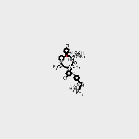 C[C@H]1C(=O)N[C@@H](CO[Si](C)(C)C(C)(C)C)C(=O)N[C@@]2(Cc3ccc(Cl)cc3)CCCN(C2)C(=O)[C@H](CC(F)(F)F)CC(=O)N1Cc1ccc(Cl)cc1Oc1ccc(-c2cnc(CN(C)C)n2C)cc1